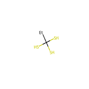 [CH2]CC(S)(S)S